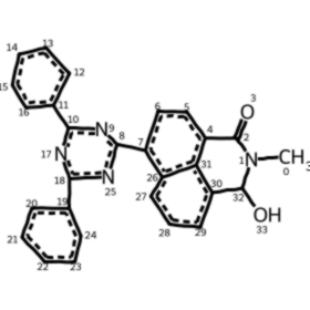 CN1C(=O)c2ccc(-c3nc(-c4ccccc4)nc(-c4ccccc4)n3)c3cccc(c23)C1O